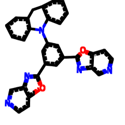 c1ccc2c(c1)Cc1ccccc1N2c1cc(-c2nc3cnccc3o2)cc(-c2nc3cnccc3o2)c1